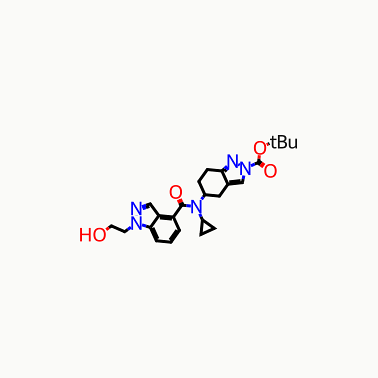 CC(C)(C)OC(=O)n1cc2c(n1)CCC(N(C(=O)c1cccc3c1cnn3CCO)C1CC1)C2